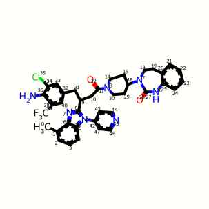 Cc1cccc2c1nc(C(CC(=O)N1CCC(N3CCc4ccccc4NC3=O)CC1)Cc1cc(Cl)c(N)c(C(F)(F)F)c1)n2-c1ccncc1